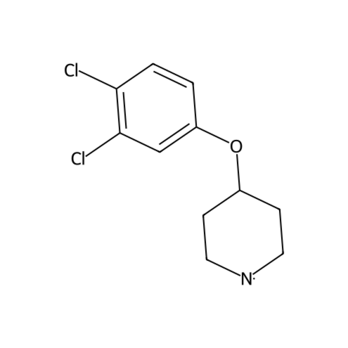 Clc1ccc(OC2CC[N]CC2)cc1Cl